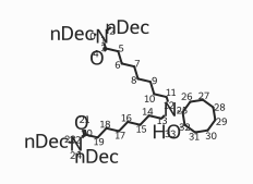 CCCCCCCCCCN(CCCCCCCCCC)C(=O)CCCCCCCN(CCCCCCCC(=O)N(CCCCCCCCCC)CCCCCCCCCC)[C@@H]1CCCCCC[C@@H]1O